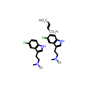 CCN(C)CCc1c[nH]c2ccc(F)cc12.CCN(C)CCc1c[nH]c2ccc(F)cc12.O=C(O)/C=C/C(=O)O